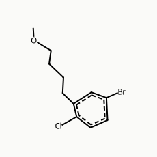 COCCCCc1cc(Br)ccc1Cl